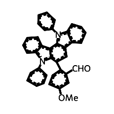 COc1ccc(-c2cc3c4ccccc4n(-c4ccccc4)c3c3c4ccccc4n(-c4ccccc4)c23)c(C=O)c1